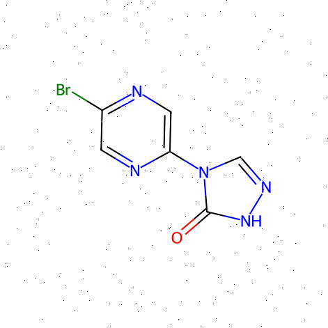 O=c1[nH]ncn1-c1cnc(Br)cn1